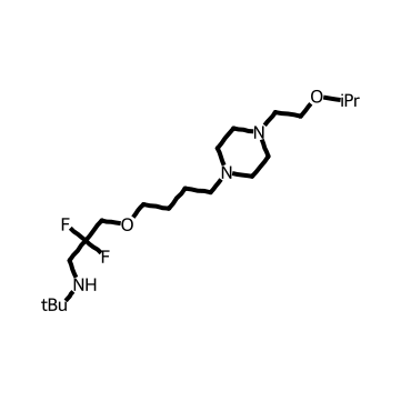 CC(C)OCCN1CCN(CCCCOCC(F)(F)CNC(C)(C)C)CC1